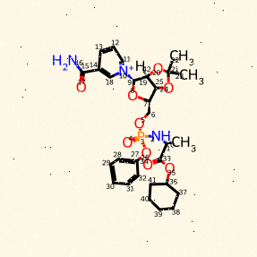 C[C@H](NP(=O)(OC[C@H]1O[C@@H]([n+]2cccc(C(N)=O)c2)[C@H]2OC(C)(C)OC12)Oc1ccccc1)C(=O)OC1CCCCC1